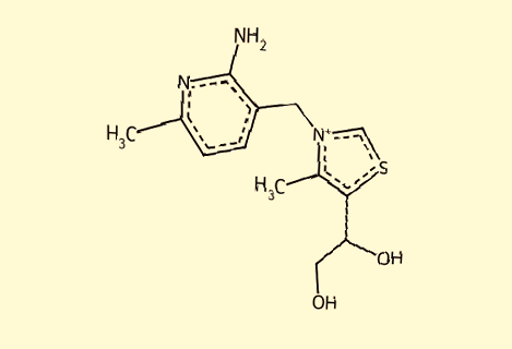 Cc1ccc(C[n+]2csc(C(O)CO)c2C)c(N)n1